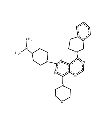 CN(C)C1CCN(c2nc(N3CCOCC3)c3ncnc(N4CCc5ccccc5C4)c3n2)CC1